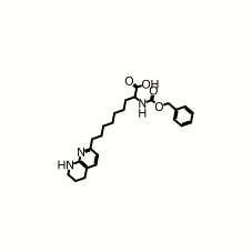 O=C(NC(CCCCCCCc1ccc2c(n1)NCCC2)C(=O)O)OCc1ccccc1